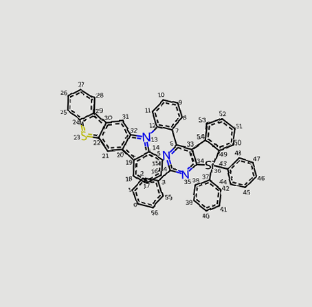 c1ccc(-c2nc(-c3ccccc3-n3c4ccccc4c4cc5sc6ccccc6c5cc43)c3c(n2)[Si](c2ccccc2)(c2ccccc2)c2ccccc2-3)cc1